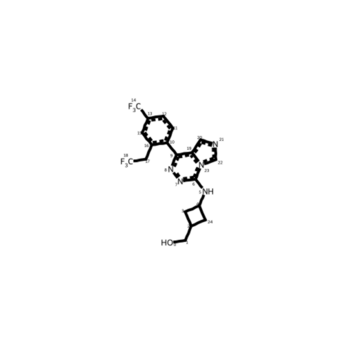 OCC1CC(Nc2nnc(-c3ccc(C(F)(F)F)cc3CC(F)(F)F)c3cncn23)C1